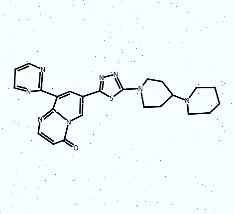 O=c1ccnc2c(-c3ncccn3)cc(-c3nnc(N4CCC(N5CCCCC5)CC4)s3)cn12